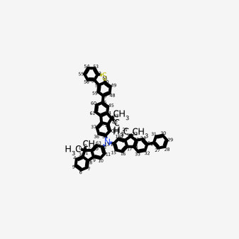 CC1(C)c2ccccc2-c2ccc(N(c3ccc4c(c3)C(C)(C)c3cc(-c5ccccc5)ccc3-4)c3ccc4c(c3)C(C)(C)c3cc(-c5ccc6sc7ccccc7c6c5)ccc3-4)cc21